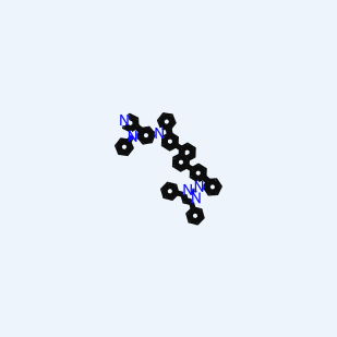 c1ccc(-c2cc(-c3ccccc3)nc(-n3c4ccccc4c4ccc(-c5cccc6c(-c7ccc8c(c7)c7ccccc7n8-c7ccc8c(c7)c7ccncc7n8-c7ccccc7)cccc56)cc43)n2)cc1